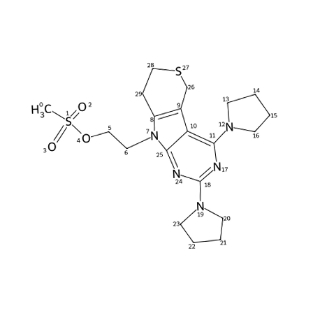 CS(=O)(=O)OCCn1c2c(c3c(N4CCCC4)nc(N4CCCC4)nc31)CSCC2